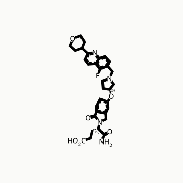 NC(=O)[C@H](CCC(=O)O)N1Cc2cc(O[C@H]3CCN(Cc4ccc5nc(C6CCOCC6)ccc5c4F)C3)ccc2C1=O